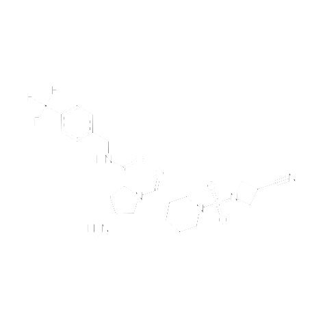 N#CC1CN(S(=O)(=O)N2CCC[C@H](C(=O)N3C[C@H](N)C[C@@H]3C(=O)NCc3ccc(C(F)(F)F)cc3)C2)C1